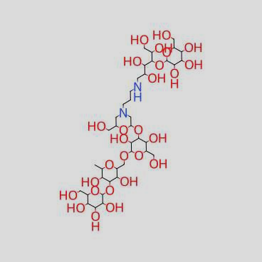 CC1OC(COC2OC(CO)C(O)C(OC3CN(CCCNCC(O)C(O)C(OC4OC(CO)C(O)C(O)C4O)C(O)CO)CC(CO)O3)C2O)C(O)C(OC2OC(CO)C(O)C(O)C2O)C1O